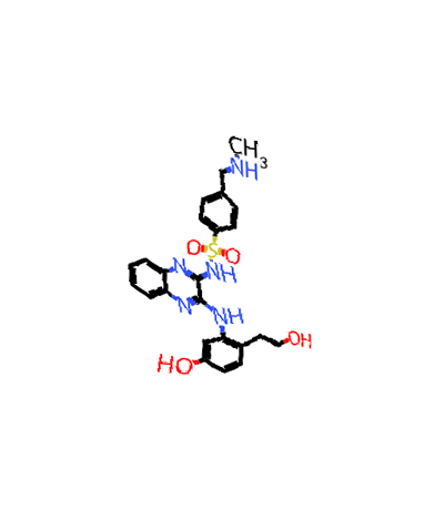 CNCc1ccc(S(=O)(=O)Nc2nc3ccccc3nc2Nc2cc(O)ccc2CCO)cc1